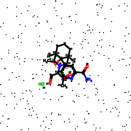 COC1(c2ccnc(C(N)=O)c2)[C@@H]2CCC[C@H]1CN(C(C=O)C(C)=O)C2.Cl